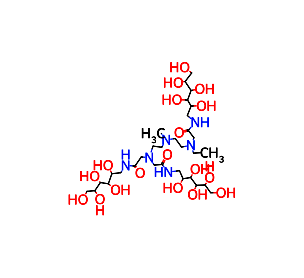 CCN(CCN(C)CCN(CC(=O)NCC(O)C(O)C(O)C(O)CO)CC(=O)NCC(O)C(O)C(O)C(O)CO)CC(=O)NCC(O)C(O)C(O)C(O)CO